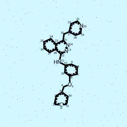 c1ccc(COc2cccc(Nc3nnc(Cc4ccncc4)c4ccccc34)c2)cc1